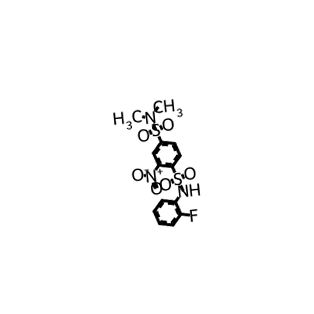 CN(C)S(=O)(=O)c1ccc(S(=O)(=O)Nc2ccccc2F)c([N+](=O)[O-])c1